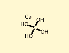 O[Si](O)(O)O.[Ca]